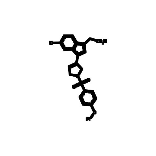 CC(C)Oc1ccc(S(=O)(=O)N2CC=C(c3cn(CC(=O)O)c4ccc(Cl)cc34)C2)cc1